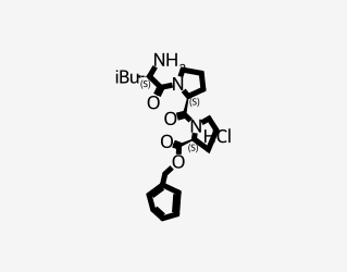 CCC(C)[C@H](N)C(=O)N1CCC[C@H]1C(=O)N1CCC[C@H]1C(=O)OCc1ccccc1.Cl